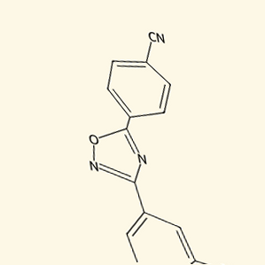 N#Cc1ccc(-c2nc(-c3cccc(O)c3)no2)cc1